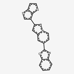 c1ccc2oc(-c3ccn4nc(-c5csc6ccsc56)cc4c3)nc2c1